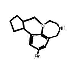 Brc1cc2c3c(c1)C1CCCC1CN3CCNC2